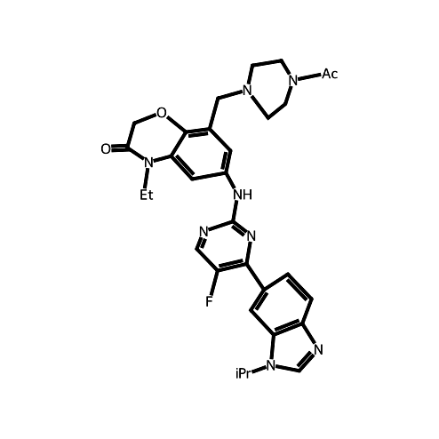 CCN1C(=O)COc2c(CN3CCN(C(C)=O)CC3)cc(Nc3ncc(F)c(-c4ccc5ncn(C(C)C)c5c4)n3)cc21